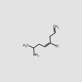 C=CC/C(=C\CC(C)N)CC